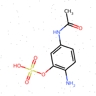 CC(=O)Nc1ccc(N)c(OS(=O)(=O)O)c1